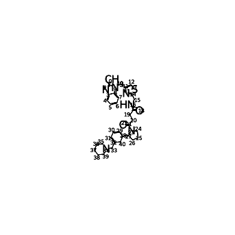 Cc1nc2ccccc2n1Cc1csc(CNC(=O)CCC(=O)N2CCCC2C2C=CC=C(CN3CCCCC3)C2)n1